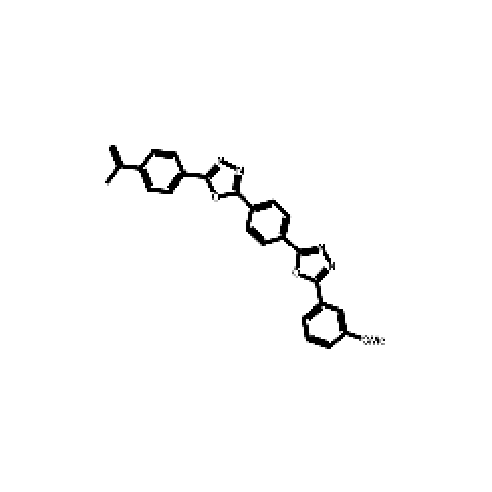 C=C(C)c1ccc(-c2nnc(-c3ccc(-c4nnc(-c5cccc(OC)c5)o4)cc3)o2)cc1